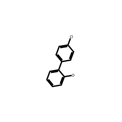 [O]c1ccccc1-c1ccc(Cl)cc1